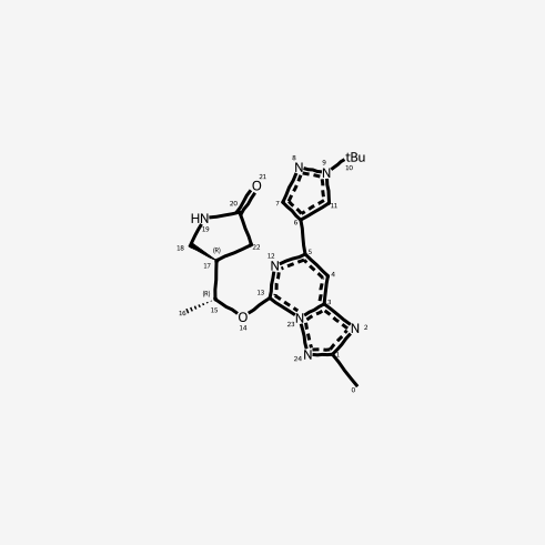 Cc1nc2cc(-c3cnn(C(C)(C)C)c3)nc(O[C@H](C)[C@H]3CNC(=O)C3)n2n1